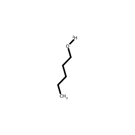 [2H]OCCCCC